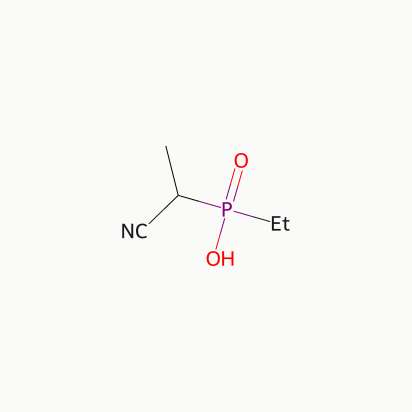 CCP(=O)(O)C(C)C#N